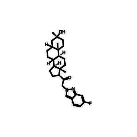 C[C@@]1(O)CC[C@@]2(C)[C@H](CC[C@@H]3[C@@H]2CC[C@]2(C)[C@@H](C(=O)Cn4cc5ccc(F)cc5n4)CC[C@@H]32)C1